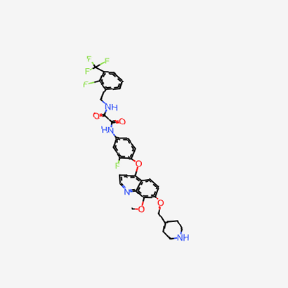 COc1c(OCC2CCNCC2)ccc2c(Oc3ccc(NC(=O)C(=O)NCc4cccc(C(F)(F)F)c4F)cc3F)ccnc12